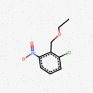 CCOCc1c(Cl)cccc1[N+](=O)[O-]